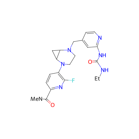 CCNC(=O)Nc1cc(CN2CCN(c3ccc(C(=O)NC)nc3F)C3CC32)ccn1